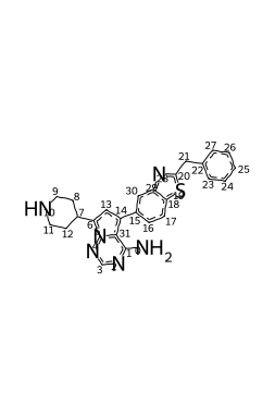 Nc1ncnn2c(C3CCNCC3)cc(-c3ccc4sc(Cc5ccccc5)nc4c3)c12